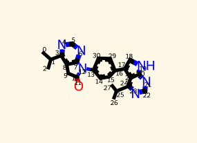 CC(C)c1ncnc2c1CC(=O)N2c1ccc(-c2c[nH]c3ncnc(C(C)C)c23)cc1